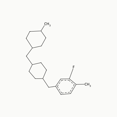 Cc1ccc(CC2CCC(CC3CCC(C)CC3)CC2)cc1F